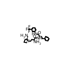 NC[C@@H]1CCCN1CC[C@H](N)C(=O)N[C@@H](CCc1ccccc1)C(=O)Nc1cccc(C(F)(F)F)c1